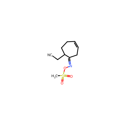 CS(=O)(=O)ON=C1CC=CCCC1CC#N